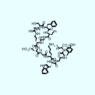 CC(C)C[C@H](NC(=O)[C@H](Cc1ccccc1)NC(=O)[C@@H](N)CS)C(=O)NCC(=O)N[C@@H](CCCNC(=N)N)C(=O)N[C@@H](CCC(=O)O)C(=O)NCC(=O)N[C@@H](CCCCN)C(=O)N[C@@H](Cc1c[nH]c2ccccc12)C(=O)NCC(=O)N[C@@H](Cc1ccc(O)cc1)C(=O)N[C@@H](CS)C(=O)O